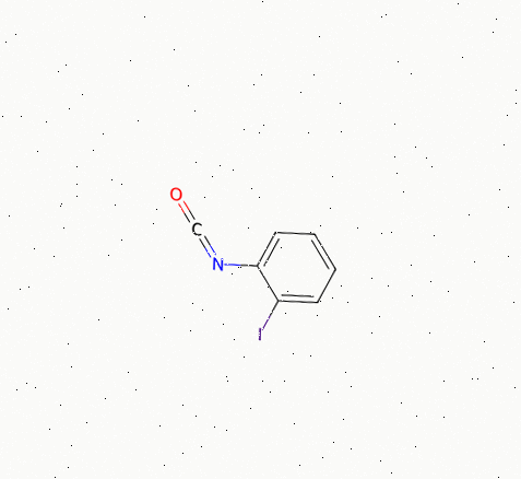 O=C=Nc1ccccc1I